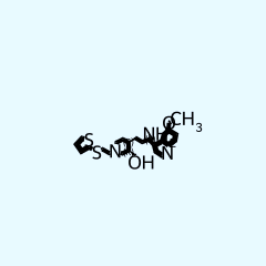 COc1ccc2nccc([C@@H](N)CC[C@@H]3CCN(CCSc4cccs4)C[C@@H]3CO)c2c1